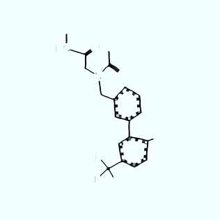 CNC(=O)CN(Cc1cccc(-c2cc(C(F)(F)F)ccc2[O])c1)C(C)=O